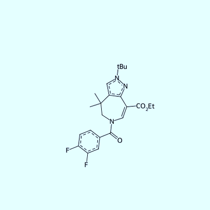 CCOC(=O)C1=CN(C(=O)c2ccc(F)c(F)c2)CC(C)(C)c2cn(C(C)(C)C)nc21